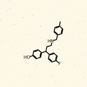 Cc1ccc(CNCCC(c2ccc(O)cc2)c2ccc(F)cc2)cc1